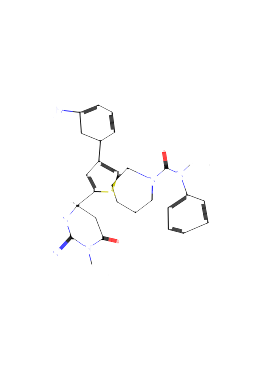 CN1C(=N)N[C@](C)(c2cc(C3C=CC=C(N)C3)cs2)[C@H](C2CCN(C(=O)N(C)c3ccccc3)CC2)C1=O